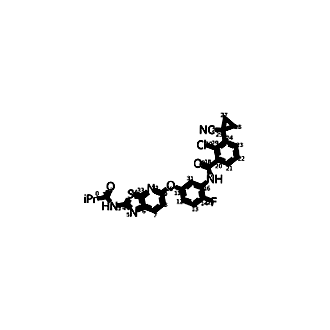 CC(C)C(=O)Nc1nc2ccc(Oc3ccc(F)c(NC(=O)c4cccc(C5(C#N)CC5)c4Cl)c3)nc2s1